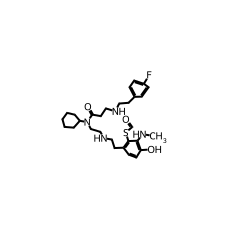 CNc1c(O)ccc(CCNCCN(C(=O)CCNCCc2ccc(F)cc2)C2CCCCC2)c1SC=O